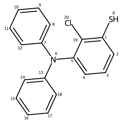 Sc1cccc(N(c2ccccc2)c2ccccc2)c1Cl